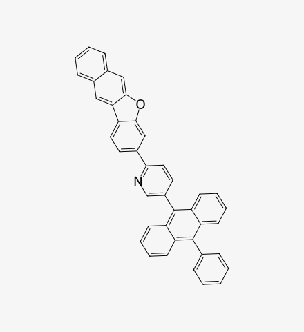 c1ccc(-c2c3ccccc3c(-c3ccc(-c4ccc5c(c4)oc4cc6ccccc6cc45)nc3)c3ccccc23)cc1